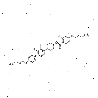 CCCCOc1ccc(-c2ccc(C3CCC(OC(=O)c4ccc(OCCCC)cc4F)CC3)c(F)c2F)cc1